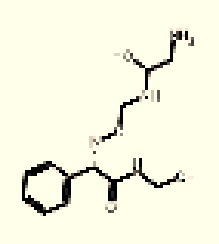 NC[C@H](O)NCON[C@H](C(=O)NCO)c1ccccc1